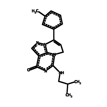 Cc1cccc(C2=CCn3c(NCC(C)C)nc(=O)c4cnn2c43)c1